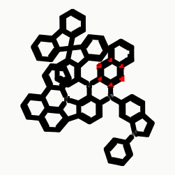 Fc1ccc(N(c2cccc3c2-c2ccccc2C32c3ccccc3-c3ccccc32)c2c(N(c3ccc4ccccc4c3)c3ccc4ccn(-c5ccccc5)c4c3)ccc3c4ccc5cccc6c7ccccc7n(c23)c4c56)cc1